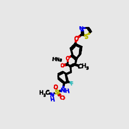 CNS(=O)(=O)Nc1cccc(Cc2c(C)c3ccc(Oc4nccs4)cc3oc2=O)c1F.[NaH]